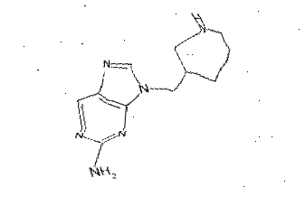 Nc1ncc2ncn(CC3CCCNC3)c2n1